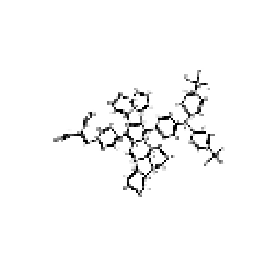 CC(C)(C)c1ccc(N(c2ccc(-c3c4c(cc5c6ccccc6c6cccc4c65)c(-c4ccc(C=C(C#N)C#N)cc4)c4c5cccc6cccc(c34)c65)cc2)c2ccc(C(C)(C)C)cc2)cc1